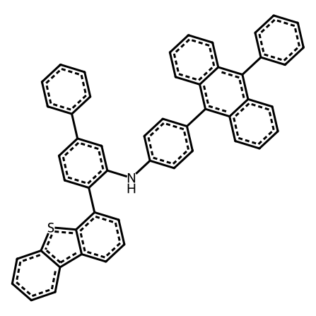 c1ccc(-c2ccc(-c3cccc4c3sc3ccccc34)c(Nc3ccc(-c4c5ccccc5c(-c5ccccc5)c5ccccc45)cc3)c2)cc1